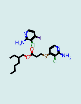 CCCCC(CC)COC(=O)CCSc1ccnc(N)c1Cl.Nc1nccc(I)c1Cl